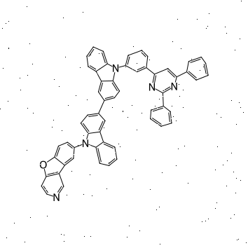 c1ccc(-c2cc(-c3cccc(-n4c5ccccc5c5cc(-c6ccc7c(c6)c6ccccc6n7-c6ccc7oc8ccncc8c7c6)ccc54)c3)nc(-c3ccccc3)n2)cc1